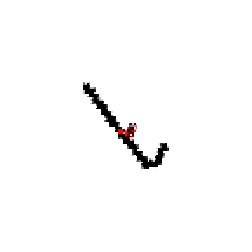 CCCCC/C=C\C/C=C\CCCCCCCCC(CCCCCCCCCCCCCCCCCC)OC=O